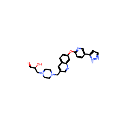 O=C[C@@H](O)CN1CCN(Cc2cnc3cc(Oc4ccc(-c5ccn[nH]5)cn4)ccc3c2)CC1